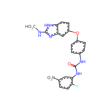 O=C(O)Nc1nc2cc(Oc3ccc(NC(=O)Nc4cc([N+](=O)[O-])ccc4F)cc3)ccc2[nH]1